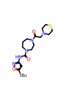 CC(C)(C)c1cc(NC(=O)N2CCCN(C(=O)CN3CCSCC3)CC2)no1